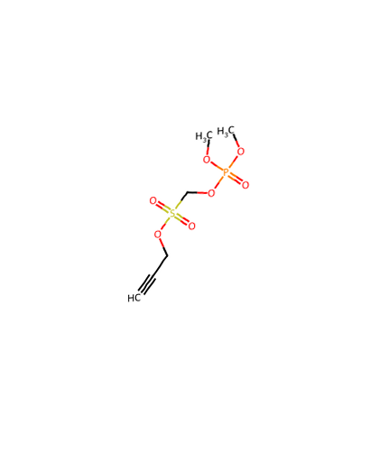 C#CCOS(=O)(=O)COP(=O)(OC)OC